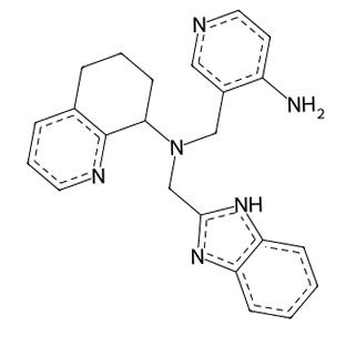 Nc1ccncc1CN(Cc1nc2ccccc2[nH]1)C1CCCc2cccnc21